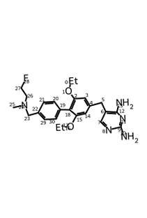 CCOc1cc(Cc2cnc(N)nc2N)cc(OCC)c1-c1ccc(CN(C)CCF)cc1